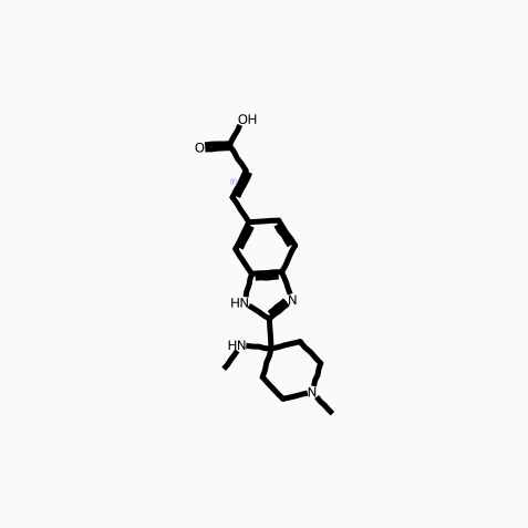 CNC1(c2nc3ccc(/C=C/C(=O)O)cc3[nH]2)CCN(C)CC1